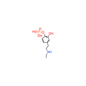 CCNCCc1ccc(OP(=O)(O)O)c(O)c1